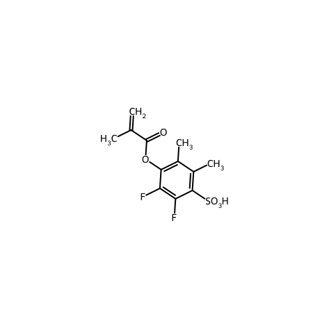 C=C(C)C(=O)Oc1c(C)c(C)c(S(=O)(=O)O)c(F)c1F